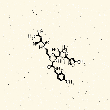 Cc1ccc(CNC(=O)[C@H](CCCCNC(=O)C(C#N)=CC(C)C)NC(=O)[C@@H](NC(=O)c2cc(C)on2)[C@@H](C)O)c(F)c1